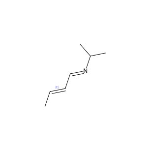 C/C=C/C=NC(C)C